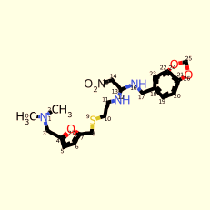 CN(C)Cc1ccc(CSCCNC(C[N+](=O)[O-])NCc2ccc3c(c2)OCO3)o1